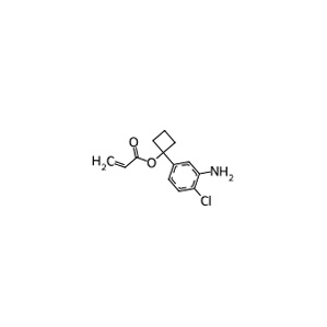 C=CC(=O)OC1(c2ccc(Cl)c(N)c2)CCC1